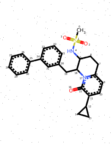 CS(=O)(=O)NC1CCc2ccc(C3CC3)c(=O)n2C1Cc1cccc(-c2ccccc2)c1